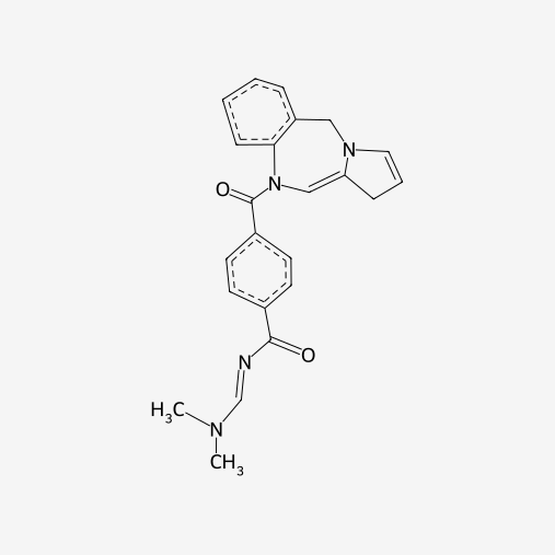 CN(C)C=NC(=O)c1ccc(C(=O)N2C=C3CC=CN3Cc3ccccc32)cc1